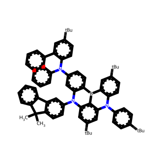 CC(C)(C)c1ccc(N2c3ccc(C(C)(C)C)cc3B3c4ccc(N(c5ccccc5)c5ccc(C(C)(C)C)cc5-c5ccccc5)cc4N(c4ccc5c(c4)-c4ccccc4C5(C)C)c4cc(C(C)(C)C)cc2c43)cc1